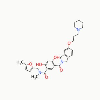 Cc1ccc(CN(C)C(=O)c2cc(C(=O)N3Cc4ccc(OCCCN5CCCCC5)cc4C3)c(O)cc2O)o1